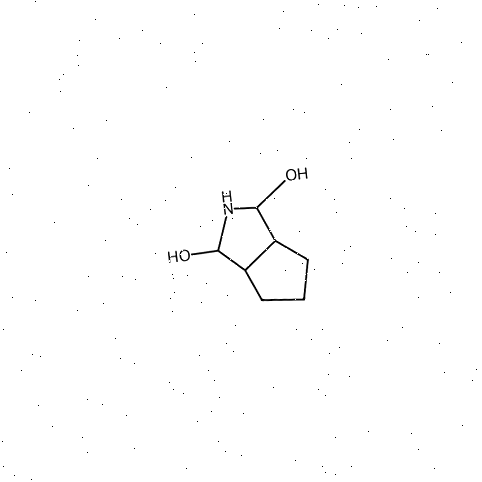 OC1NC(O)C2CCCC12